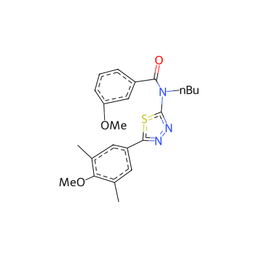 CCCCN(C(=O)c1cccc(OC)c1)c1nnc(-c2cc(C)c(OC)c(C)c2)s1